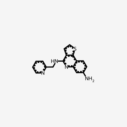 Nc1ccc2c(c1)nc(NCc1ccccn1)c1ccsc12